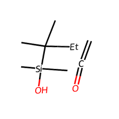 C=C=O.CCC(C)(C)[Si](C)(C)O